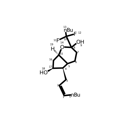 CCCC/C=C\C[C@@H]1C2CCC(O)(C(F)(F)CCCC)O[C@@H]2C[C@@H]1O